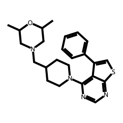 CC1CN(CC2CCN(c3ncnc4scc(-c5ccccc5)c34)CC2)CC(C)O1